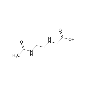 CC(=O)NCCNCC(=O)O